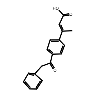 CC(=CC(=O)O)c1ccc(C(=O)Cc2ccccc2)cc1